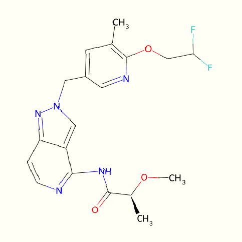 CO[C@@H](C)C(=O)Nc1nccc2nn(Cc3cnc(OCC(F)F)c(C)c3)cc12